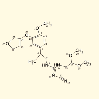 COc1ccc(C(C)CN/C(=N/C#N)NCC(OC)OC)cc1OC1CCOC1